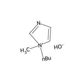 CCCC[N+]1(C)C=CN=C1.[OH-]